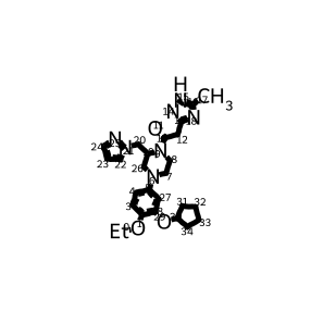 CCOc1ccc(N2CCN(C(=O)Cc3n[nH]c(C)n3)C(Cn3cccn3)C2)cc1OC1CCCC1